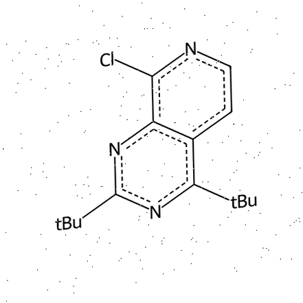 CC(C)(C)c1nc(C(C)(C)C)c2ccnc(Cl)c2n1